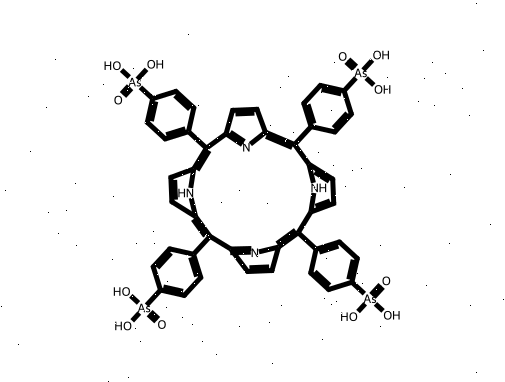 O=[As](O)(O)c1ccc(-c2c3nc(c(-c4ccc([As](=O)(O)O)cc4)c4ccc([nH]4)c(-c4ccc([As](=O)(O)O)cc4)c4nc(c(-c5ccc([As](=O)(O)O)cc5)c5ccc2[nH]5)C=C4)C=C3)cc1